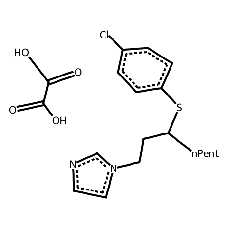 CCCCCC(CCn1ccnc1)Sc1ccc(Cl)cc1.O=C(O)C(=O)O